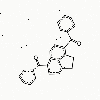 O=C(c1ccccc1)c1ccc2c(C(=O)c3ccccc3)ccc3c2c1CC3